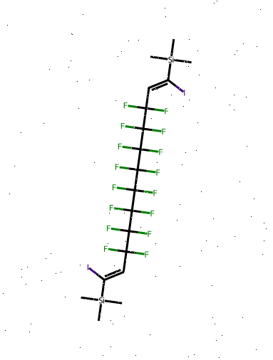 C[Si](C)(C)C(I)=CC(F)(F)C(F)(F)C(F)(F)C(F)(F)C(F)(F)C(F)(F)C(F)(F)C(F)(F)C=C(I)[Si](C)(C)C